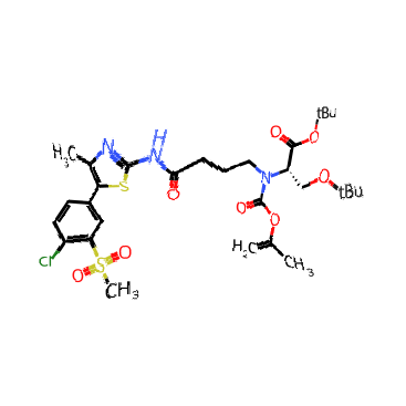 C=C(C)OC(=O)N(CCCC(=O)Nc1nc(C)c(-c2ccc(Cl)c(S(C)(=O)=O)c2)s1)[C@@H](COC(C)(C)C)C(=O)OC(C)(C)C